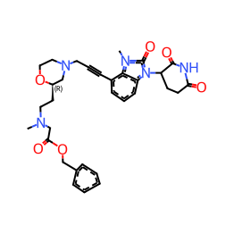 CN(CC[C@@H]1CN(CC#Cc2cccc3c2n(C)c(=O)n3C2CCC(=O)NC2=O)CCO1)CC(=O)OCc1ccccc1